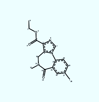 CCOC(=O)c1ncn2c1CN(C)C(=O)c1cc(I)ccc1-2